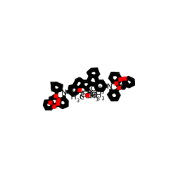 C[Si](C)(C)C1([Si](C)(C)C)c2c(ccc3cc(N(c4ccccc4-c4ccccc4)c4cccc5c4oc4ccccc45)ccc23)-c2c1c1ccc(N(c3ccccc3-c3ccccc3)c3cccc4c3oc3ccccc34)cc1c1ccccc21